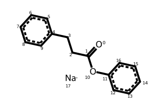 O=C(CCc1ccccc1)Oc1ccccc1.[Na]